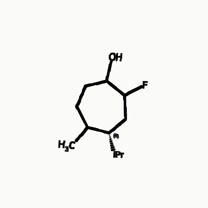 CC(C)[C@H]1CC(F)C(O)CCC1C